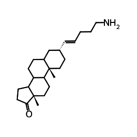 C[C@]12CC[C@@H](C=CCCCN)CC1CCC1C2CC[C@]2(C)C(=O)CCC12